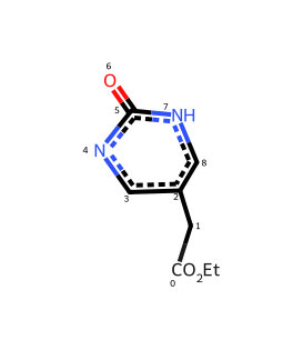 CCOC(=O)Cc1cnc(=O)[nH]c1